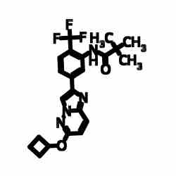 CC(C)(C)C(=O)Nc1cc(-c2cn3nc(OC4CCC4)ccc3n2)ccc1C(F)(F)F